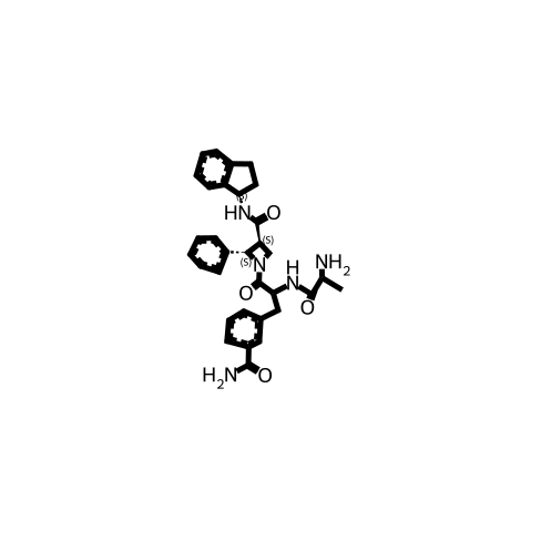 CC(N)C(=O)NC(Cc1cccc(C(N)=O)c1)C(=O)N1C[C@H](C(=O)N[C@H]2CCc3ccccc32)[C@H]1c1ccccc1